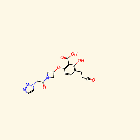 O=BCCc1ccc(OC2CN(C(=O)Cn3ccnn3)C2)c(C(=O)O)c1O